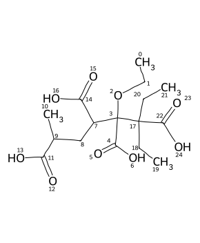 CCOC(C(=O)O)(C(CC(C)C(=O)O)C(=O)O)C(CC)(CC)C(=O)O